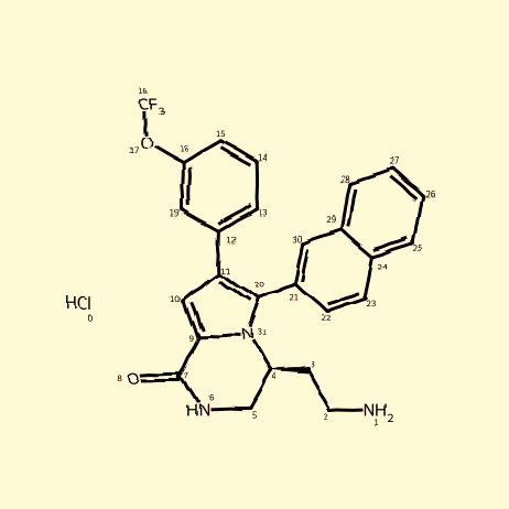 Cl.NCC[C@H]1CNC(=O)c2cc(-c3cccc(OC(F)(F)F)c3)c(-c3ccc4ccccc4c3)n21